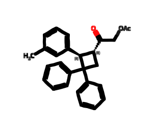 CC(=O)OCC(=O)[C@@H]1CC(c2ccccc2)(c2ccccc2)[C@H]1c1cccc(C)c1